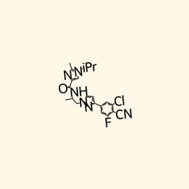 Cc1nc(C(=O)NC(C)Cn2ccc(-c3cc(F)c(C#N)c(Cl)c3)n2)cn1C(C)C